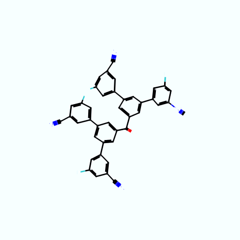 [C-]#[N+]c1cc(F)cc(-c2cc(C(=O)c3cc(-c4cc(F)cc(C#N)c4)cc(-c4cc(F)cc(C#N)c4)c3)cc(-c3cc(F)cc(C#N)c3)c2)c1